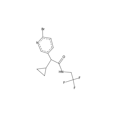 O=C(NCC(F)(F)F)C(c1ccc(Br)nc1)C1CC1